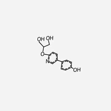 OCC(CO)Oc1ccc(-c2ccc(O)cc2)cn1